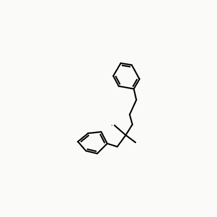 [CH2]C(C)(CCCc1ccccc1)Cc1ccccc1